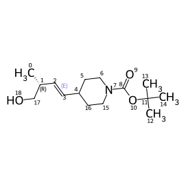 C[C@H](/C=C/C1CCN(C(=O)OC(C)(C)C)CC1)CO